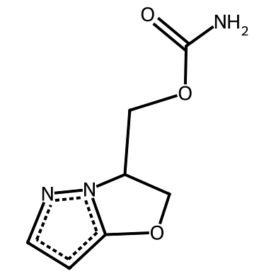 NC(=O)OCC1COc2ccnn21